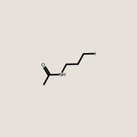 CC(=O)NCCCI